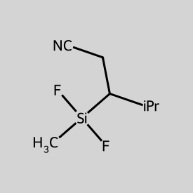 CC(C)C(CC#N)[Si](C)(F)F